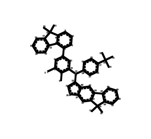 Cc1c(I)cc(-c2cccc3c2-c2ccccc2C3(C)C)cc1N(c1ccc(C(C)(C)C)cc1)c1csc2cc3c(cc12)-c1ccccc1C3(C)C